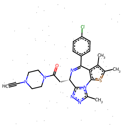 C#CN1CCN(C(=O)C[C@@H]2N=C(c3ccc(Cl)cc3)c3c(sc(C)c3C)-n3c(C)nnc32)CC1